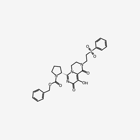 O=C1c2c(O)c(=O)nc([C@H]3CCCN3C(=O)OCc3ccccc3)n2CCN1CCS(=O)(=O)c1ccccc1